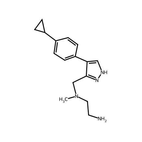 CN(CCN)Cc1n[nH]cc1-c1ccc(C2CC2)cc1